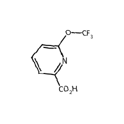 O=C(O)c1cccc(OC(F)(F)F)n1